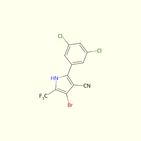 N#Cc1c(-c2cc(Cl)cc(Cl)c2)[nH]c(C(F)(F)F)c1Br